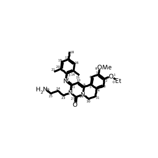 CCOc1cc2c(cc1OC)-c1c/c(=N\c3c(C)cc(C)cc3C)n(CCCN)c(=O)n1CC2